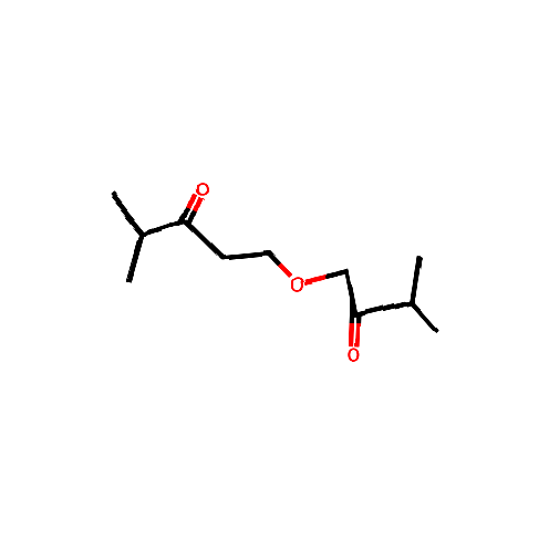 CC(C)C(=O)CCOCC(=O)C(C)C